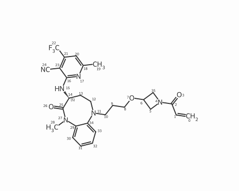 C=CC(=O)N1CC(OCCCN2CC[C@H](Nc3nc(C)cc(C(F)(F)F)c3C#N)C(=O)N(C)c3ccccc32)C1